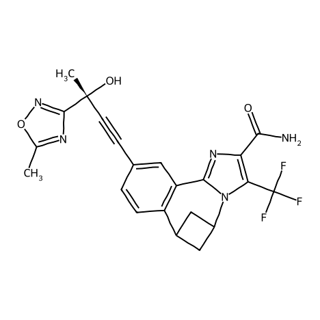 Cc1nc([C@](C)(O)C#Cc2ccc3c(c2)-c2nc(C(N)=O)c(C(F)(F)F)n2C2CC3C2)no1